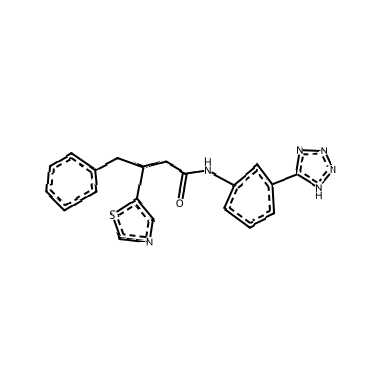 O=C(CC(Cc1ccccc1)c1cncs1)Nc1cccc(-c2nnn[nH]2)c1